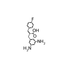 Nc1cc(N)cc(CC(=Cc2ccc(F)cc2)C(=O)O)c1